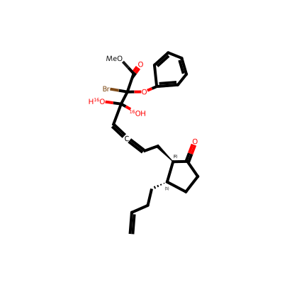 C=CCC[C@H]1CCC(=O)[C@@H]1CC=C=CC([16OH])([16OH])C(Br)(Oc1ccccc1)C(=O)OC